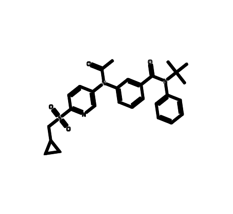 CC(=O)N(c1ccc(S(=O)(=O)CC2CC2)nc1)c1cccc(C(=O)N(c2ccccc2)C(C)(C)C)c1